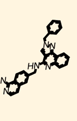 Nc1nccc2cc(CNc3nc4ccccc4c4nn(Cc5ccccc5)cc34)ccc12